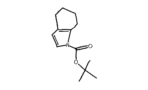 CC(C)(C)OC(=O)n1ccc2c1CCCC2